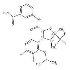 CC(C)Oc1c([C@@H]2[C@H](C(=O)Nc3ccnc(C(N)=O)c3)O[C@@](C)(C(F)(F)F)[C@H]2C)ccc(F)c1F